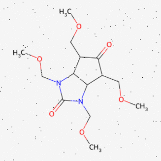 COCC1C(=O)C(COC)C2C1N(COC)C(=O)N2COC